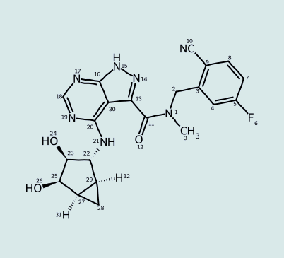 CN(Cc1cc(F)ccc1C#N)C(=O)c1n[nH]c2ncnc(N[C@H]3[C@H](O)[C@H](O)[C@@H]4C[C@@H]43)c12